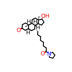 C[C@]12CCC(=O)C[C@@H]1C[C@@H](CCCCCCCC(=O)N1CCCC1)[C@@H]1[C@@H]2CC[C@]2(C)[C@@H](O)CC[C@@H]12